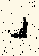 N#Cc1ccc(CS(=O)(=O)N2CCC3=Cc4c(cnn4-c4ccc(F)cc4)C[C@]3(C(=O)c3nccs3)C2)cc1